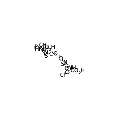 CC(C)C(C)(NC(=O)Cc1csc(-c2ccc(OCCc3ccc(-c4nc(CC(=O)NC(C(=O)O)c5ccc(Cl)cc5)cs4)cc3)cc2)n1)C(=O)O